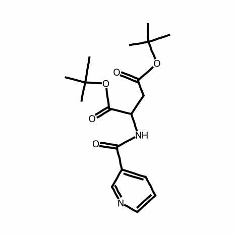 CC(C)(C)OC(=O)CC(NC(=O)c1cccnc1)C(=O)OC(C)(C)C